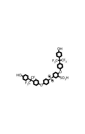 O=S(=O)(O)c1cc(S(=O)(=O)c2ccc(Oc3ccc(C(c4ccc(O)cc4)(C(F)(F)F)C(F)(F)F)cc3)cc2)ccc1Oc1ccc(C(c2ccc(O)cc2)(C(F)(F)F)C(F)(F)F)cc1